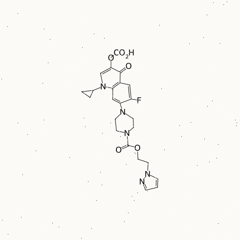 O=C(O)Oc1cn(C2CC2)c2cc(N3CCN(C(=O)OCCn4cccn4)CC3)c(F)cc2c1=O